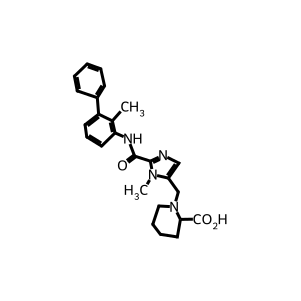 Cc1c(NC(=O)c2ncc(CN3CCCCC3C(=O)O)n2C)cccc1-c1ccccc1